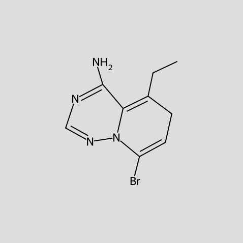 CCC1=C2C(N)=NC=NN2C(Br)=CC1